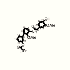 COc1cc(CC(=O)Nc2cccc(-c3cccc(OC(=O)C(C)C)c3)c2OC)ccc1O